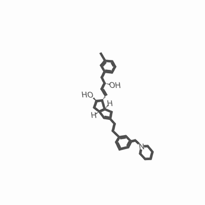 Cc1cccc(C[C@H](O)/C=C/[C@@H]2[C@H]3CC(CCc4cccc(CN5CCCCC5)c4)=C[C@H]3C[C@H]2O)c1